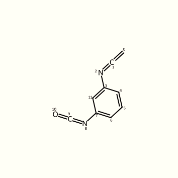 C=C=Nc1cccc(N=C=O)c1